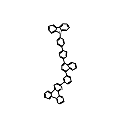 c1cc(-c2cnc3c4ccccc4c4ccccc4c3n2)cc(-c2ccc(-c3ccc(-c4ccc(-n5c6ccccc6c6ccccc65)cc4)cc3)c3ccccc23)c1